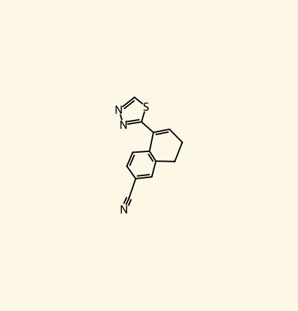 N#Cc1ccc2c(c1)CCC=C2c1nncs1